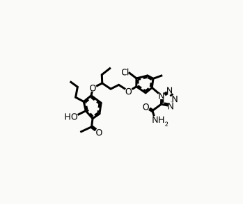 CCCc1c(OC(CC)CCOc2cc(-n3nnnc3C(N)=O)c(C)cc2Cl)ccc(C(C)=O)c1O